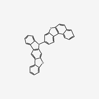 c1ccc2c(c1)ccc1sc3cc(-n4c5ccccc5c5cc6c(cc54)oc4ccccc46)ccc3c12